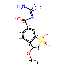 COC1CS(=O)(=O)c2cc(C(=O)N=C(N)N)ccc21